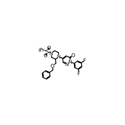 CC(C)S(=O)(=O)N1CCN(c2cnn(-c3cc(F)cc(F)c3)c(=O)c2)C(COCc2ccccc2)C1